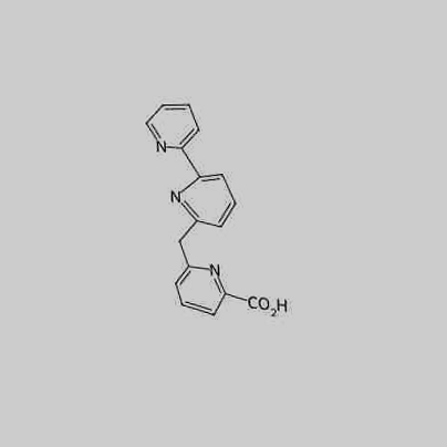 O=C(O)c1cccc(Cc2cccc(-c3ccccn3)n2)n1